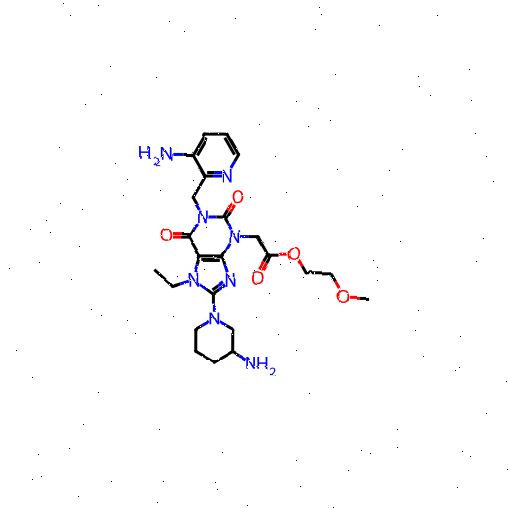 CCn1c(N2CCCC(N)C2)nc2c1c(=O)n(Cc1ncccc1N)c(=O)n2CC(=O)OCCOC